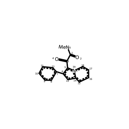 CNC(=O)C(=O)c1c(-c2ccccc2)cc2ccccn12